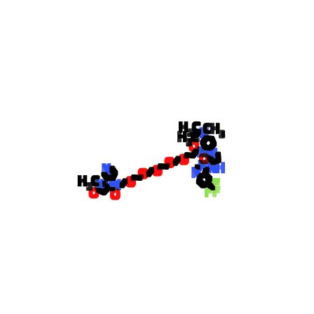 CC(C)N(C)[C@@H]1CCC(N2CC[C@H](Nc3ncnc4ccc(C(F)(F)F)cc34)C2=O)[C@H](NC(=O)CCOCCOCCOCCOCCOCCNC(=O)[C@H]2CC(=O)N(C)[C@@H]2c2cccnc2)C1